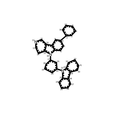 c1ccc(-c2ccc3c(c2)c2cnccc2n3-c2cccc(-n3c4ccccc4c4ccccc43)c2)cc1